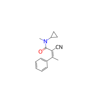 CC(=C(C#N)C(=O)N(C)C1CC1)c1ccccc1